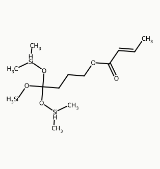 CC=CC(=O)OCCCC(O[SiH3])(O[SiH](C)C)O[SiH](C)C